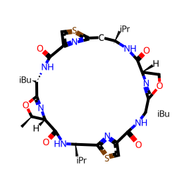 CC[C@H](C)C1NC(=O)c2csc(n2)[C@@H](C(C)C)NC(=O)[C@H]2N=C(O[C@@H]2C)[C@H]([C@@H](C)CC)NC(=O)c2csc(n2)C[C@@H](C(C)C)NC(=O)[C@@H]2COC1=N2